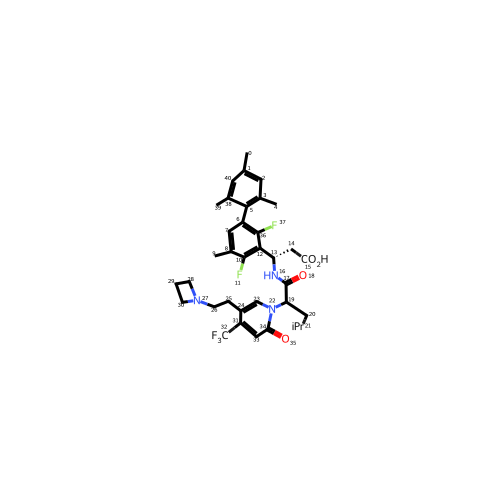 Cc1cc(C)c(-c2cc(C)c(F)c([C@H](CC(=O)O)NC(=O)C(CC(C)C)n3cc(CCN4CCC4)c(C(F)(F)F)cc3=O)c2F)c(C)c1